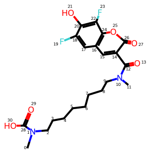 CN(CCCCCCCCN(C)C(=O)c1cc2cc(F)c(O)c(F)c2oc1=O)C(=O)O